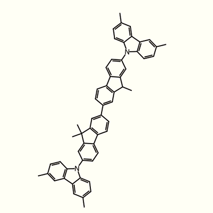 Cc1ccc2c(c1)c1cc(C)ccc1n2-c1ccc2c(c1)C(C)c1cc(-c3ccc4c(c3)C(C)(C)c3cc(-n5c6ccc(C)cc6c6cc(C)ccc65)ccc3-4)ccc1-2